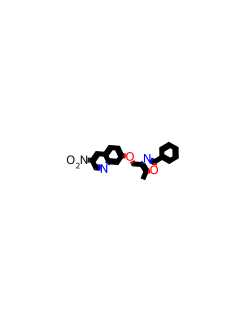 Cc1oc(-c2ccccc2)nc1COc1ccc2cc([N+](=O)[O-])cnc2c1